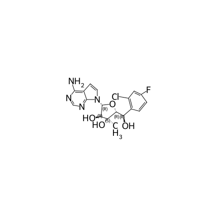 C[C@@]1(O)[C@@H]([C@H](O)c2ccc(F)cc2Cl)O[C@@H](n2ccc3c(N)ncnc32)[C@@H]1O